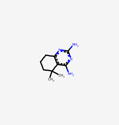 CC1(C)CCCc2nc(N)nc(N)c21